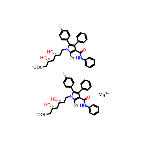 CC(C)c1c(C(=O)Nc2ccccc2)c(-c2ccccc2)c(-c2ccc(F)cc2)n1CC[C@@H](O)C[C@@H](O)CC(=O)[O-].CC(C)c1c(C(=O)Nc2ccccc2)c(-c2ccccc2)c(-c2ccc(F)cc2)n1CC[C@@H](O)C[C@@H](O)CC(=O)[O-].[Mg+2]